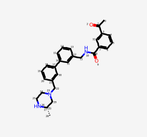 CC(=O)c1cccc(C(=O)NCc2cccc(-c3cccc(CN4CCN[C@@H](C)C4)c3)c2)c1